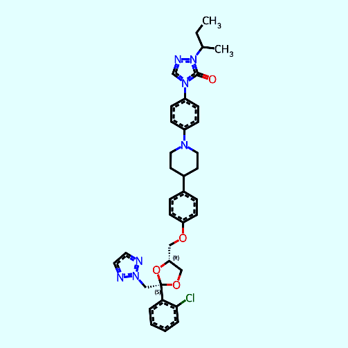 CCC(C)n1ncn(-c2ccc(N3CCC(c4ccc(OC[C@@H]5CO[C@@](Cn6nccn6)(c6ccccc6Cl)O5)cc4)CC3)cc2)c1=O